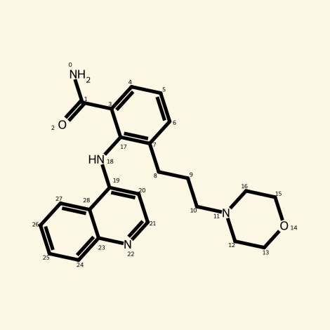 NC(=O)c1cccc(CCCN2CCOCC2)c1Nc1ccnc2ccccc12